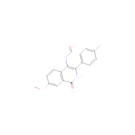 COc1ccc2c(NC=O)c(-c3ccc(C)cc3)[nH]c(=O)c2c1